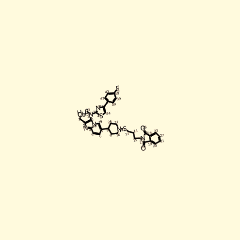 CCc1nc2ccc(C3CCN(SCCCN4C(=O)c5ccccc5C4=O)CC3)cn2c1N(C)c1nc(-c2ccc(F)cc2)cs1